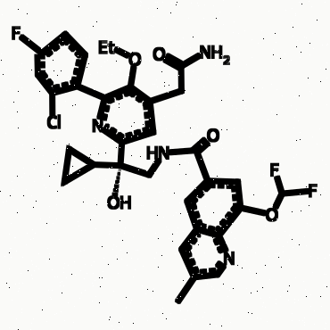 CCOc1c(CC(N)=O)cc([C@@](O)(CNC(=O)c2cc(OC(F)F)c3ncc(C)cc3c2)C2CC2)nc1-c1ccc(F)cc1Cl